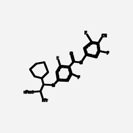 CCCCCC(CCC)C(Oc1cc(F)c(C(=O)Oc2cc(F)c(C#N)c(F)c2)c(F)c1)C1CCCCC1